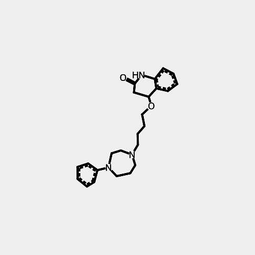 O=C1CC(OCCCCN2CCCN(c3ccccc3)CC2)c2ccccc2N1